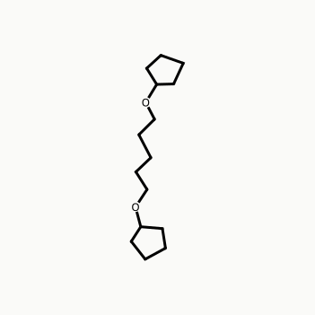 C(CCOC1CCCC1)CCOC1CCCC1